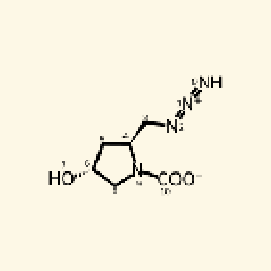 N=[N+]=NC[C@@H]1C[C@@H](O)CN1C(=O)[O-]